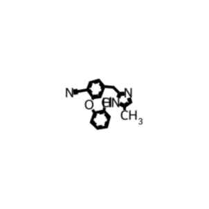 Cc1cnc(Cc2ccc(C#N)c(Oc3ccccc3Cl)c2)[nH]1